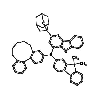 CC1(C)c2ccccc2-c2ccc(N(c3ccc4c(c3)CCCCCc3ccccc3-4)c3cc(C45CC6CC(CC4C6)C5)cc4c3oc3ccccc34)cc21